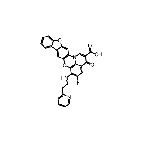 O=C(O)c1cn2c3c(c(NCCc4ccccn4)c(F)cc3c1=O)Oc1cc3c(cc1-2)oc1ccccc13